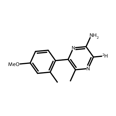 [2H]c1nc(C)c(-c2ccc(OC)cc2C)nc1N